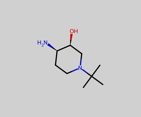 CC(C)(C)N1CC[C@@H](N)[C@@H](O)C1